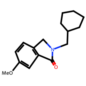 COc1ccc2c(c1)C(=O)N(CC1CCCCC1)C2